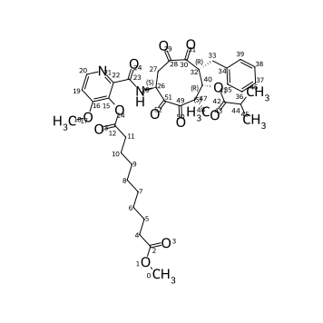 COC(=O)CCCCCCCCC(=O)Oc1c(OC)ccnc1C(=O)N[C@H]1CC(=O)C(=O)[C@H](Cc2ccccc2)[C@H](OC(=O)C(C)C)[C@H](C)C(=O)C1=O